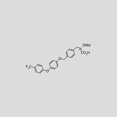 CO[C@@H](Cc1ccc(COc2ccc(Oc3ccc(C(F)(F)F)cc3)cc2)cc1)C(=O)O